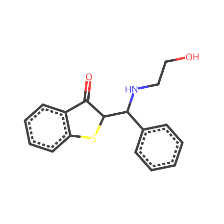 O=C1c2ccccc2SC1C(NCCO)c1ccccc1